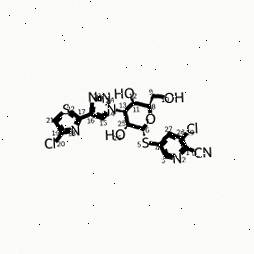 N#Cc1ncc(S[C@H]2O[C@H](CO)[C@H](O)[C@H](n3cc(-c4nc(Cl)cs4)nn3)[C@H]2O)cc1Cl